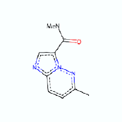 CNC(=O)c1cnc2ccc(C)nn12